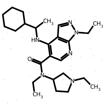 CCN1CCC(N(CC)C(=O)c2cnc3c(cnn3CC)c2NC(C)C2CCCCC2)C1